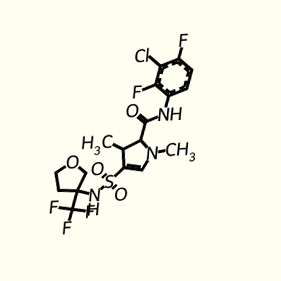 CC1C(S(=O)(=O)NC2(C(F)(F)F)CCOC2)=CN(C)C1C(=O)Nc1ccc(F)c(Cl)c1F